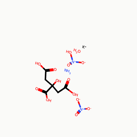 N.O.O=C(O)CC(O)(CC(=O)O)C(=O)O.O=[N+]([O-])O.O=[N+]([O-])[O-].[K+]